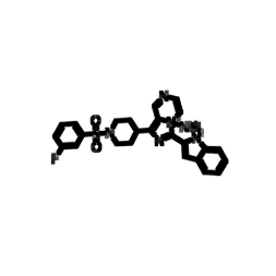 N[N+]12C=CN=CC1=C(C1CCN(S(=O)(=O)c3cccc(F)c3)CC1)N=C2c1cc2ccccc2[nH]1